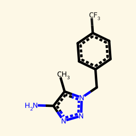 Cc1c(N)nnn1Cc1ccc(C(F)(F)F)cc1